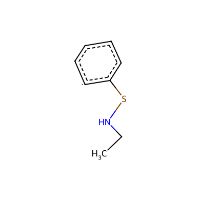 CCNSc1[c]cccc1